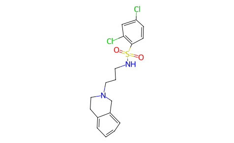 O=S(=O)(NCCCN1CCc2ccccc2C1)c1ccc(Cl)cc1Cl